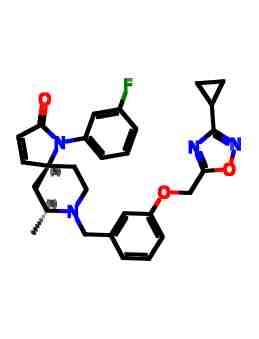 C[C@@H]1C[C@]2(C=CC(=O)N2c2cccc(F)c2)CCN1Cc1cccc(OCc2nc(C3CC3)no2)c1